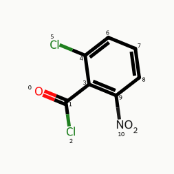 O=C(Cl)c1c(Cl)cccc1[N+](=O)[O-]